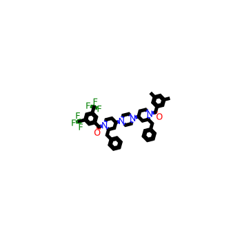 Cc1cc(C)cc(C(=O)N2CCC(N3CCN(C4CCN(C(=O)c5cc(C(F)(F)F)cc(C(F)(F)F)c5)C(Cc5ccccc5)C4)CC3)CC2Cc2ccccc2)c1